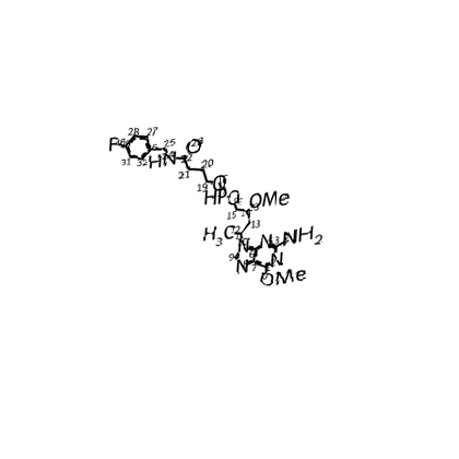 COc1nc(N)nc2c1ncn2C(C)CC(COPOCCCC(=O)NCc1ccc(F)cc1)OC